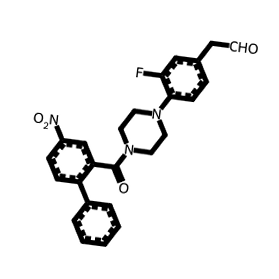 O=CCc1ccc(N2CCN(C(=O)c3cc([N+](=O)[O-])ccc3-c3ccccc3)CC2)c(F)c1